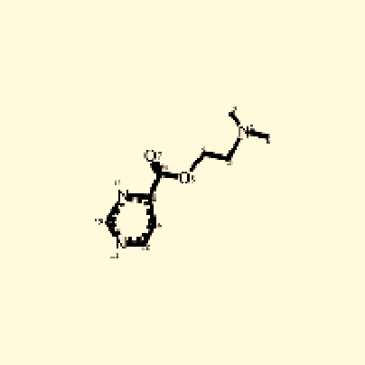 CN(C)CCOC(=O)c1ccncn1